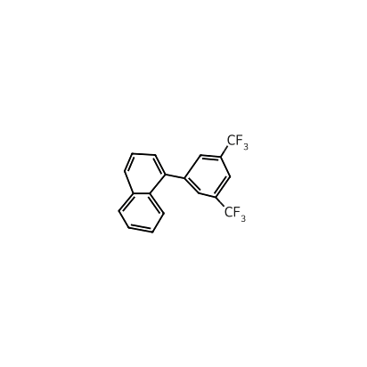 FC(F)(F)c1cc(-c2cccc3ccccc23)cc(C(F)(F)F)c1